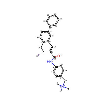 C[N+](C)(C)Cc1ccc(NC(=O)C2=Cc3cc(-c4ccccc4)ccc3CC2)cc1.[I-]